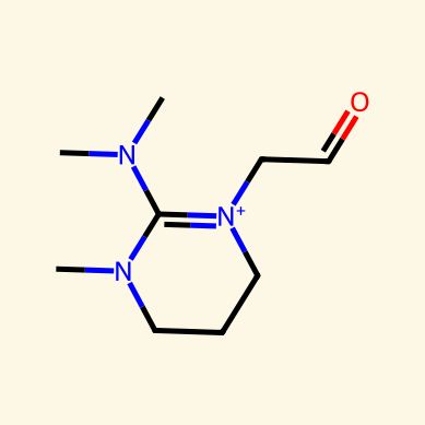 CN(C)C1=[N+](CC=O)CCCN1C